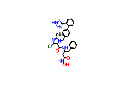 CCCCc1nc(Cl)c(C(=O)NC(CC(=O)NO)Cc2ccccc2)n1Cc1ccc(-c2ccccc2-c2nn[nH]n2)cc1